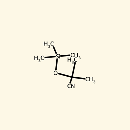 CC(C)(C#N)O[Si](C)(C)C